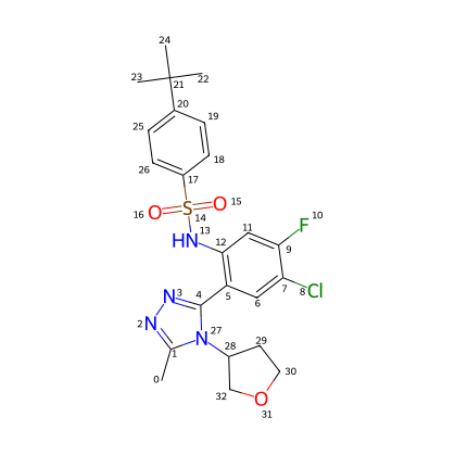 Cc1nnc(-c2cc(Cl)c(F)cc2NS(=O)(=O)c2ccc(C(C)(C)C)cc2)n1C1CCOC1